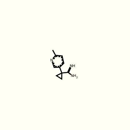 Cc1ccc(C2(C(=N)N)CC2)cn1